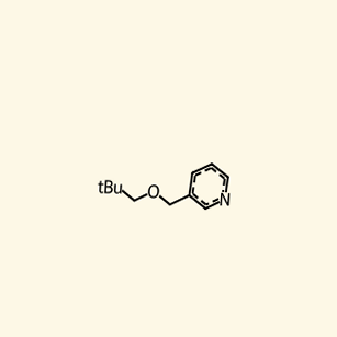 CC(C)(C)COCc1cccnc1